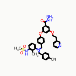 Cc1c(NS(C)(=O)=O)cccc1N(Cc1ccc(C#N)cc1)Cc1ccc(Oc2cc(OCCc3cccnc3)cc(C(=O)NN)c2)cc1